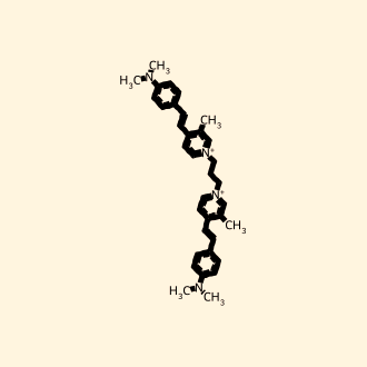 Cc1c[n+](CCC[n+]2ccc(/C=C/c3ccc(N(C)C)cc3)c(C)c2)ccc1/C=C/c1ccc(N(C)C)cc1